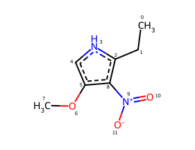 CCc1[nH]cc(OC)c1[N+](=O)[O-]